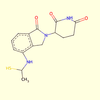 CC(S)Nc1cccc2c1CN(C1CCC(=O)NC1=O)C2=O